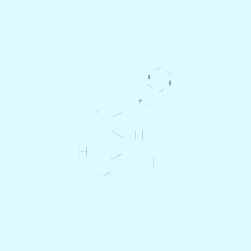 CC(C=CC1=C(C)C(=O)CCC1(C)C)=CCS(=O)(=O)c1ccccc1